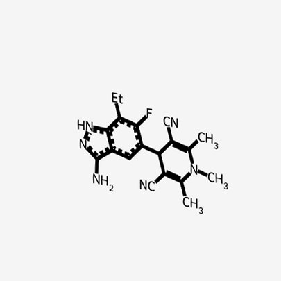 CCc1c(F)c(C2C(C#N)=C(C)N(C)C(C)=C2C#N)cc2c(N)n[nH]c12